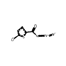 [N-]=[N+]=NC(=O)c1ccc(Cl)s1